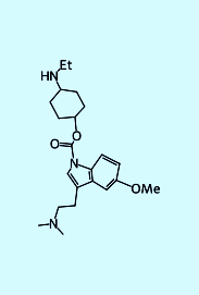 CCNC1CCC(OC(=O)n2cc(CCN(C)C)c3cc(OC)ccc32)CC1